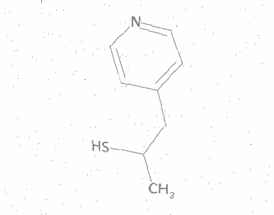 CC(S)Cc1ccncc1